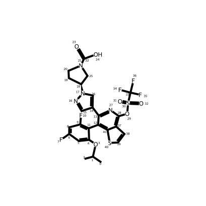 CC(C)Oc1cc(F)cc(F)c1-c1c(-c2cnn([C@H]3CCN(C(=O)O)C3)c2)nc(OS(=O)(=O)C(F)(F)F)c2ccsc12